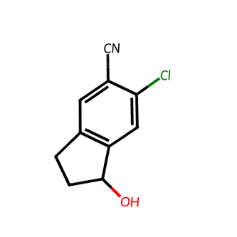 N#Cc1cc2c(cc1Cl)C(O)CC2